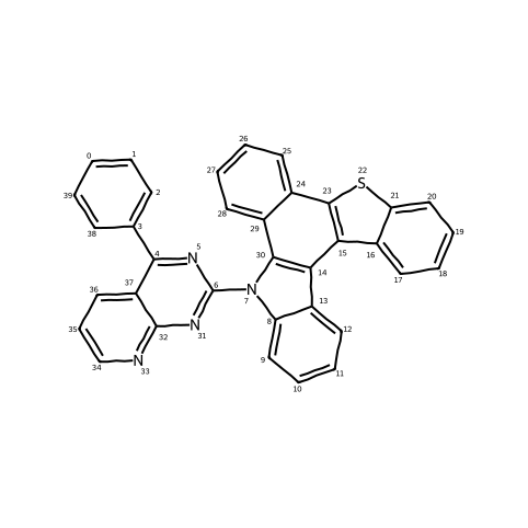 c1ccc(-c2nc(-n3c4ccccc4c4c5c6ccccc6sc5c5ccccc5c43)nc3ncccc23)cc1